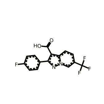 O=C(O)c1c(-c2ccc(F)cc2)nn2cc(C(F)(F)F)ccc12